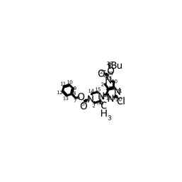 C[C@H]1CN(C(=O)OCc2ccccc2)CCN1c1nc(Cl)nc2c1CN(C(=O)OC(C)(C)C)C2